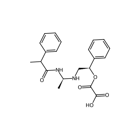 CC(C(=O)N[C@H](C)NC[C@H](OC(=O)C(=O)O)c1ccccc1)c1ccccc1